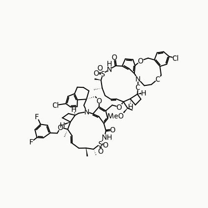 CO[C@H](C)[C@]1(OCc2cc3cc4c2OC[C@]2(CCCc5cc(Cl)ccc52)CN4C[C@@H]2CC[C@H]2[C@](C)(OCc2cc(F)cc(F)c2)/C=C/C[C@H](C)[C@@H](C)S(=O)(=O)NC3=O)/C=C/C[C@H](C)[C@@H](C)S(=O)(=O)NC(=O)c2ccc3c(c2)N(CCCCc2cc(Cl)ccc2CO3)C[C@@H]2CC[C@H]21